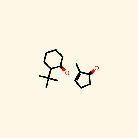 CC(C)(C)C1CCCCC1=O.CC1=CCCC1=O